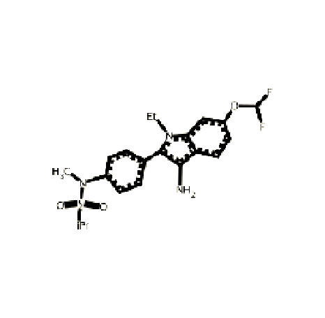 CCn1c(-c2ccc(N(C)S(=O)(=O)C(C)C)cc2)c(N)c2ccc(OC(F)F)cc21